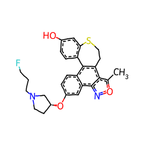 Cc1onc2c1c1c(c3ccc(O[C@H]4CCN(CCCF)C4)cc32)-c2ccc(O)cc2SCC1